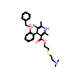 CC1=C(C(=O)OCCSCCN(C)C)C(c2ccccc2OCc2ccccc2)C([N+](=O)[O-])=C(C)N1